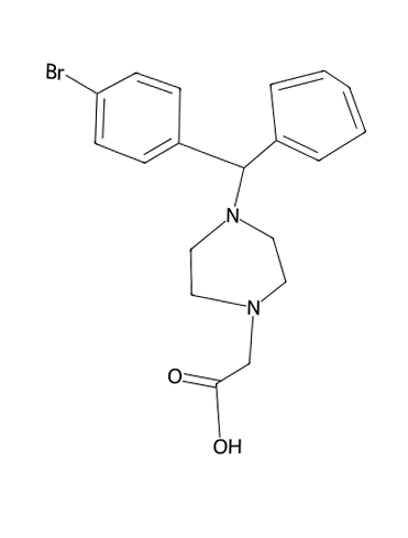 O=C(O)CN1CCN(C(c2ccccc2)c2ccc(Br)cc2)CC1